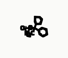 CC(O[Cl+2]([O-])[O-])(c1ccccc1)c1ccccc1